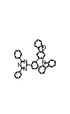 c1ccc(-c2nc(-c3ccccc3)nc(-c3cccc(-c4cc5c(cc4-n4c6ccccc6c6ccccc64)oc4ccccc45)c3)n2)cc1